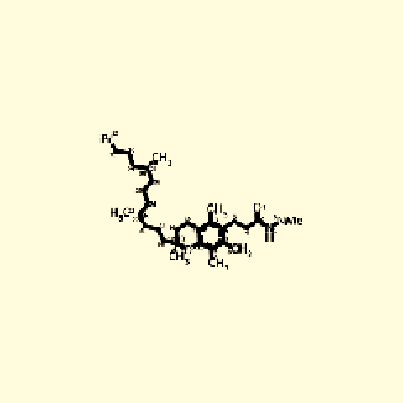 CNNC(=O)CCc1c(C)c(C)c2c(c1C)CC[C@@](C)(CCC[C@H](C)CCC[C@H](C)CCCC(C)C)O2